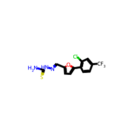 NC(=S)N/N=C/c1ccc(-c2ccc(C(F)(F)F)cc2Cl)o1